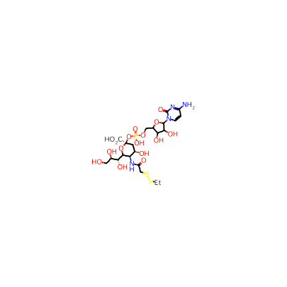 CCSSCC(=O)N[C@H]1C([C@H](O)[C@H](O)CO)O[C@](OP(=O)(O)OCC2OC(n3ccc(N)nc3=O)C(O)C2O)(C(=O)O)C[C@H]1O